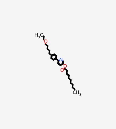 CCCCCCCC=CCC(=O)Oc1ccc(-c2ccc(CCCCCOCCC)cc2)nc1